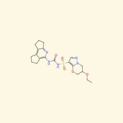 CCOC1COc2c(S(=O)(=O)NC(=O)Nc3nc4c(c5c3CCC5)CCC4)cnn2C1